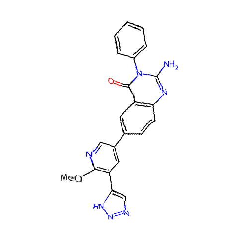 COc1ncc(-c2ccc3nc(N)n(-c4ccccc4)c(=O)c3c2)cc1-c1cnn[nH]1